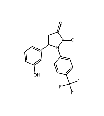 O=C1CC(c2cccc(O)c2)N(c2ccc(C(F)(F)F)cc2)C1=O